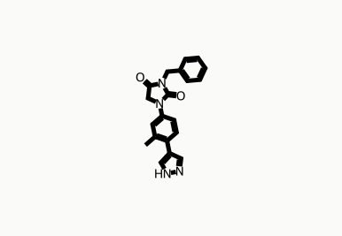 Cc1cc(N2CC(=O)N(Cc3ccccc3)C2=O)ccc1-c1cn[nH]c1